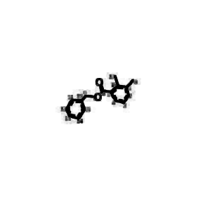 Cc1cccc(C(=O)OCc2ccccc2)c1C